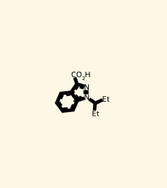 CCC(CC)n1nc(C(=O)O)c2ccccc21